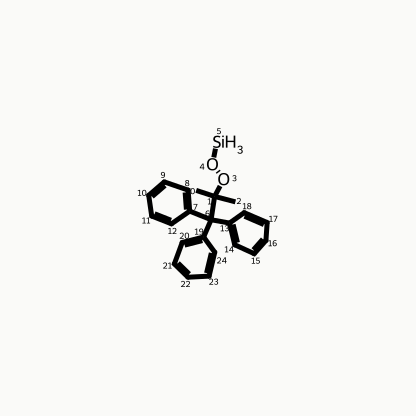 CC(C)(OO[SiH3])C(c1ccccc1)(c1ccccc1)c1ccccc1